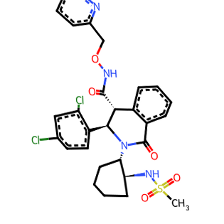 CS(=O)(=O)N[C@H]1CCCC[C@@H]1N1C(=O)c2ccccc2[C@@H](C(=O)NOCc2ccccn2)[C@@H]1c1ccc(Cl)cc1Cl